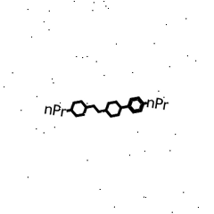 CCCc1ccc(C2CCC(CCC3CCC(CCC)CC3)CC2)cc1